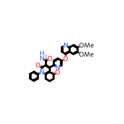 COc1cc2nccc(Oc3ccc(-c4c5c(n(-c6ccccc6)c(=O)c4C(N)=O)CCCC5=O)nc3)c2cc1OC